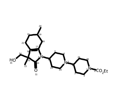 CCOC(=O)N1CCC(N2CCC(N3C(=O)C(C)(CO)C4=C3CC(C)CC4)CC2)CC1